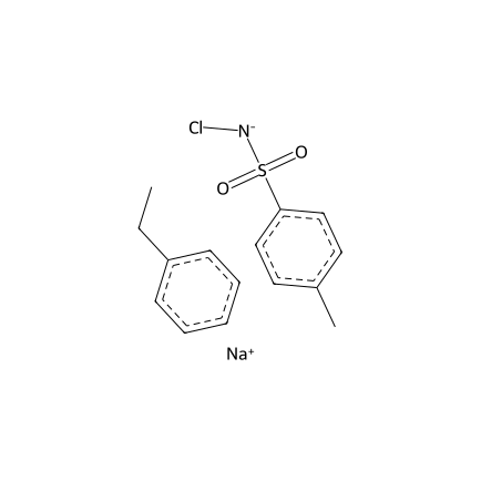 CCc1ccccc1.Cc1ccc(S(=O)(=O)[N-]Cl)cc1.[Na+]